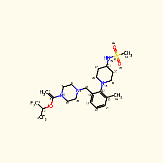 C=C(OC(C(F)(F)F)C(F)(F)F)N1CCN(Cc2cccc(C)c2N2CCC(NS(C)(=O)=O)CC2)CC1